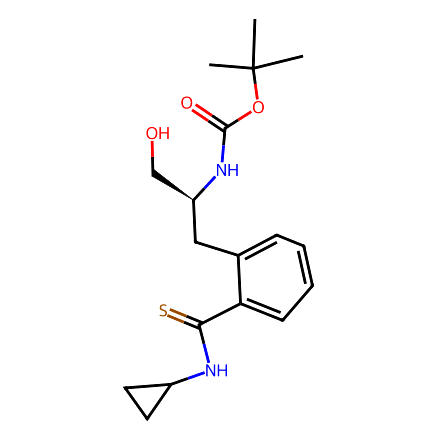 CC(C)(C)OC(=O)N[C@H](CO)Cc1ccccc1C(=S)NC1CC1